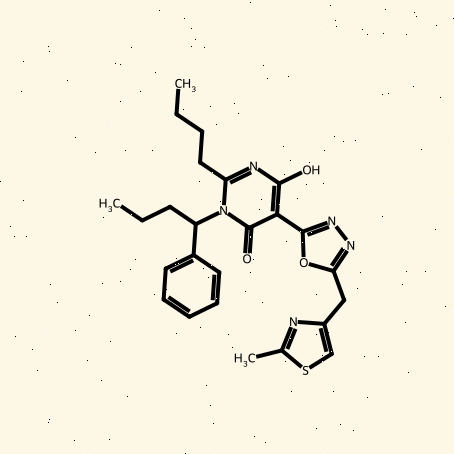 CCCCc1nc(O)c(-c2nnc(Cc3csc(C)n3)o2)c(=O)n1C(CCC)c1ccccc1